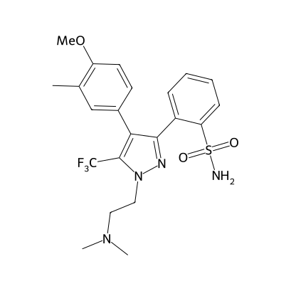 COc1ccc(-c2c(-c3ccccc3S(N)(=O)=O)nn(CCN(C)C)c2C(F)(F)F)cc1C